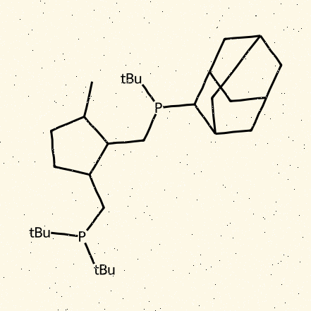 CC1CCC(CP(C(C)(C)C)C(C)(C)C)C1CP(C1C2CC3CC(C2)CC1C3)C(C)(C)C